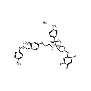 CC(C)(C)c1ccc(O[C@@H](Cc2ccc(OCCN[C@@]3(S(=O)(=O)c4ccc([N+](=O)[O-])cc4)C4CN(Cc5cc(F)c(F)cc5F)C[C@@H]43)cc2)C(=O)O)cc1.Cl